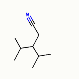 CC(C)C(CC#N)C(C)C